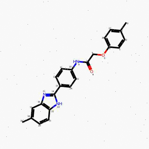 Cc1ccc(OCC(=O)Nc2ccc(-c3nc4cc(C)ccc4[nH]3)cc2)cc1